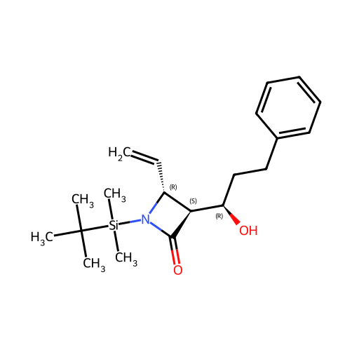 C=C[C@@H]1[C@@H]([C@H](O)CCc2ccccc2)C(=O)N1[Si](C)(C)C(C)(C)C